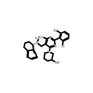 CCc1cccc(CC)c1-c1nc(C)c(CN(C)[C@H]2CCCc3ccccc32)c(N2CCCC(O)C2)n1